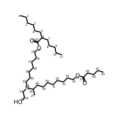 CCCCCCC(CCCCC)C(=O)OCCCCCCCN(CCO)C(C)CCCCCCCCOC(=O)CCCC